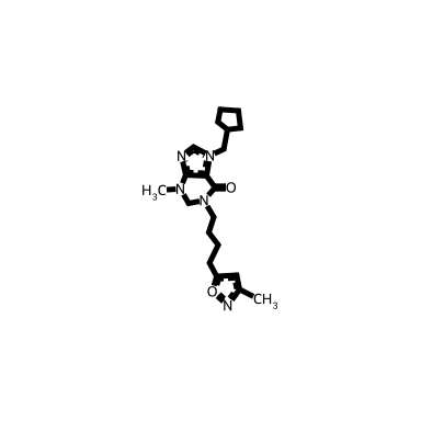 Cc1cc(CCCCN2CN(C)c3ncn(CC4CCCC4)c3C2=O)on1